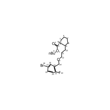 CCCCOC(=O)N1CCCCC1CCCOCc1cc(Br)ccc1F